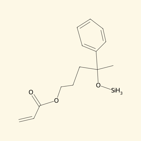 C=CC(=O)OCCCC(C)(O[SiH3])c1ccccc1